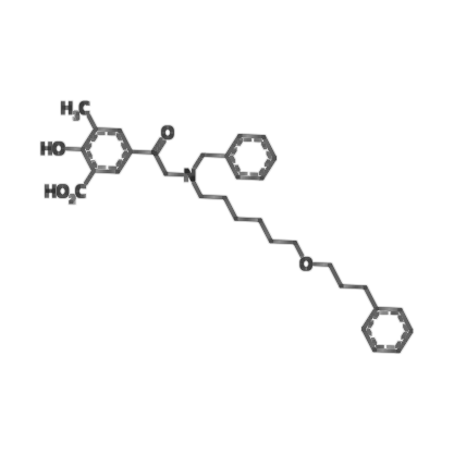 Cc1cc(C(=O)CN(CCCCCCOCCCc2ccccc2)Cc2ccccc2)cc(C(=O)O)c1O